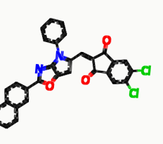 O=C1C(=Cc2cc3oc(-c4ccc5ccccc5c4)nc3n2-c2ccccc2)C(=O)c2cc(Cl)c(Cl)cc21